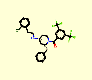 O=C(c1cc(C(F)(F)F)cc(C(F)(F)F)c1)N1CC[C@H](NCCc2ccccc2Cl)C[C@H]1Cc1ccccc1